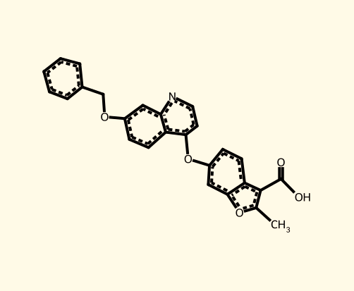 Cc1oc2cc(Oc3ccnc4cc(OCc5ccccc5)ccc34)ccc2c1C(=O)O